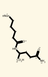 CCCCCCCCCCCCCC(=O)NC(CCC(N)=O)C(=O)O